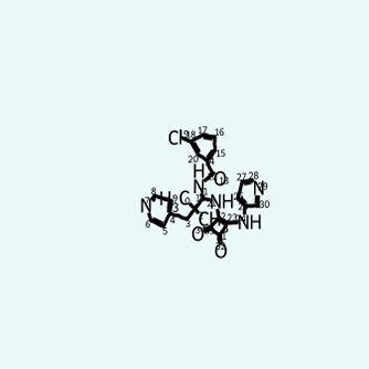 CC(C)(Cc1ccncc1)C(NC(=O)c1cccc(Cl)c1)Nc1c(Nc2cccnc2)c(=O)c1=O